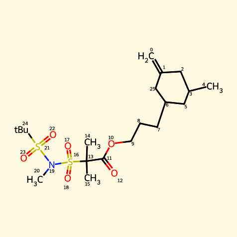 C=C1CC(C)CC(CCCOC(=O)C(C)(C)S(=O)(=O)N(C)S(=O)(=O)C(C)(C)C)C1